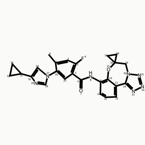 Cc1cc(F)c(C(=O)Nc2cccc3c2OC2(CC2)Cn2nnnc2-3)cc1-n1cnc(C2CC2)c1